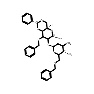 CO[C@H]1O[C@@H]2CO[C@@H](c3ccccc3)OC2C(OCc2ccccc2)C1O[C@H]1CC(C)[C@H](C)C(COCc2ccccc2)O1